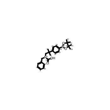 CC(C)(CN(Cc1ccccc1)C(=O)O)c1ccc(B2OC(C)(C)C(C)(C)O2)cc1